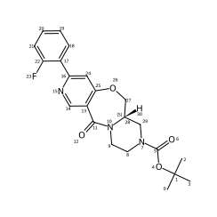 CC(C)(C)OC(=O)N1CCN2C(=O)c3cnc(-c4ccccc4F)cc3OC[C@@H]2C1